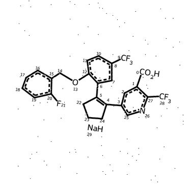 O=C(O)c1cc(C2=C(c3cc(C(F)(F)F)ccc3OCc3ccccc3F)CCC2)cnc1C(F)(F)F.[NaH]